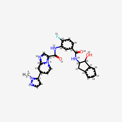 Cn1nccc1-c1ccn2c(C(=O)Nc3cc(C(=O)NC4Cc5ccccc5C4O)ccc3F)cnc2c1